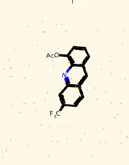 CC(=O)Oc1cccc2cc3ccc(C(F)(F)F)cc3nc12